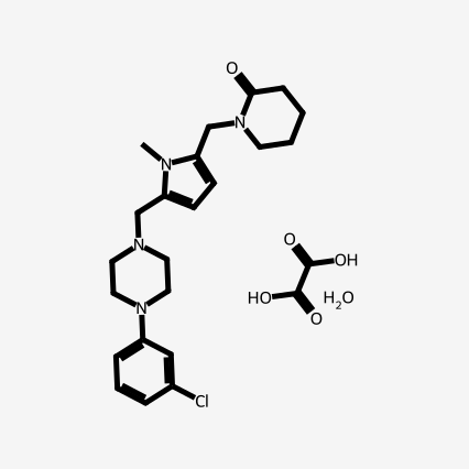 Cn1c(CN2CCN(c3cccc(Cl)c3)CC2)ccc1CN1CCCCC1=O.O.O=C(O)C(=O)O